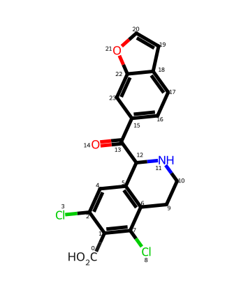 O=C(O)c1c(Cl)cc2c(c1Cl)CCNC2C(=O)c1ccc2ccoc2c1